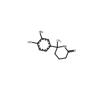 CC(C)(C)c1cc(C2(C)CCCC(=O)N2)ccc1O